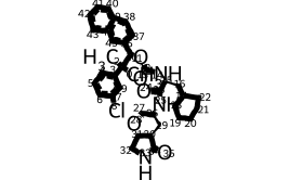 CC(C)(c1cccc(Cl)c1)C(OC(=O)N[C@@H](CC1CCCCC1)C(=O)N[C@H](C=O)C[C@@H]1CCNC1=O)c1ccc2ccccc2c1